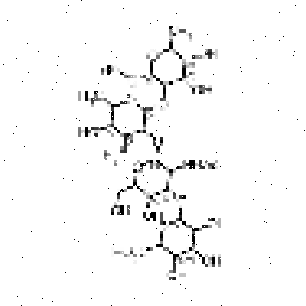 CCCO[C@@H]1OC(C)[C@H](O)[C@H](O)C1O[C@@H]1OC(C)[C@H](O)[C@H](C)C1O[C@@H]1OC(CO)[C@H](O)[C@H](O[C@@H]2OC(C(=O)O)[C@H](O)[C@H](O)C2O)C1NC(C)=O